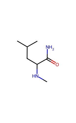 CNC(CC(C)C)C(N)=O